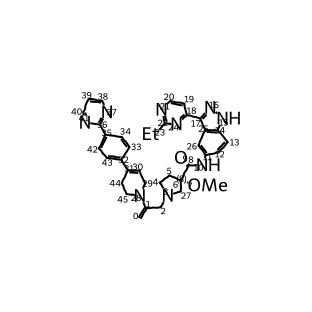 C=C(CN1CC[C@@](OC)(C(=O)Nc2ccc3[nH]nc(-c4ccnc(CC)n4)c3c2)C1)N1CC=C(c2ccc(-c3ncccn3)cc2)CC1